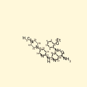 CCOc1ccccc1Nc1cc(Nc2ccc(N3CCN(C)CC3)cn2)ncc1C(N)=O